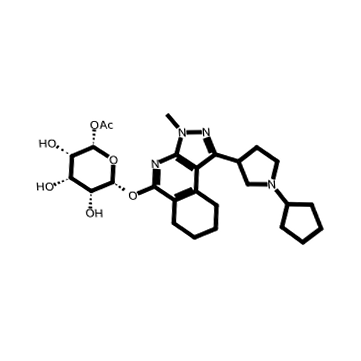 CC(=O)O[C@@H]1O[C@H](Oc2nc3c(c(C4CCN(C5CCCC5)C4)nn3C)c3c2CCCC3)[C@H](O)[C@H](O)[C@@H]1O